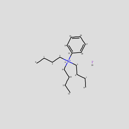 CCCC[N+](CCCC)(CCCC)c1ccccc1.[I-]